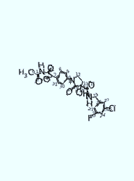 CC(=O)NS(=O)(=O)c1ccc(N2CCC(O)(C(=O)NCc3cc(F)cc(Cl)c3)C2=O)cc1